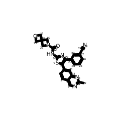 Cc1ncc2ccc(-c3sc(NC(=O)N4CC5(COC5)C4)nc3-c3cccc(C#N)c3)cc2n1